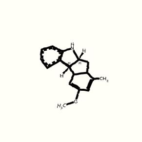 COC1=CC2C(C[C@H]3Nc4ccccc4[C@@H]23)C(C)=C1